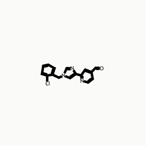 O=Cc1ccnc(-c2cn(Cc3ccccc3Cl)cn2)c1